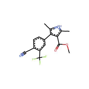 COC(=O)c1c(C)[nH]c(C)c1-c1ccc(C#N)c(C(F)(F)F)c1